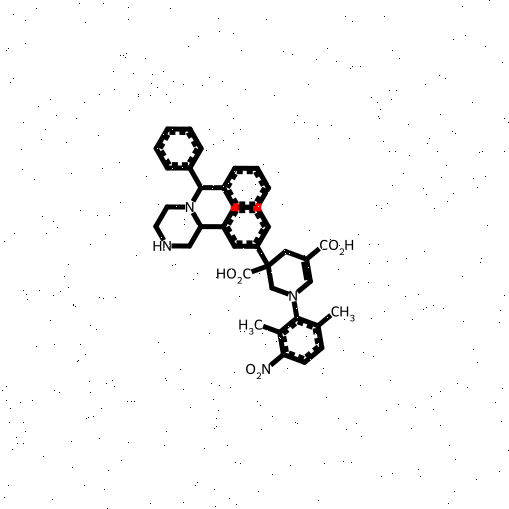 Cc1ccc([N+](=O)[O-])c(C)c1N1C=C(C(=O)O)CC(C(=O)O)(c2cccc(C3CNCCN3C(c3ccccc3)c3ccccc3)c2)C1